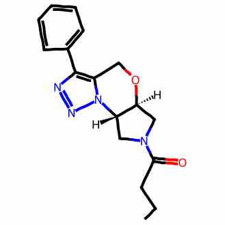 CCCC(=O)N1C[C@@H]2OCc3c(-c4ccccc4)nnn3[C@H]2C1